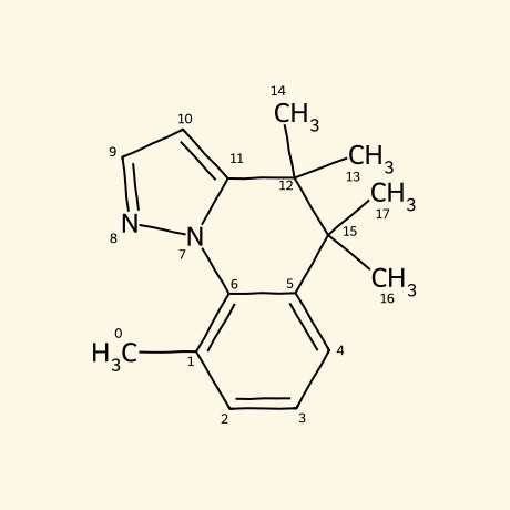 Cc1cccc2c1-n1nccc1C(C)(C)C2(C)C